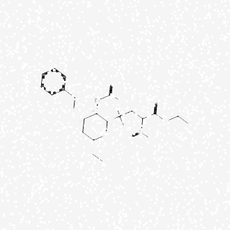 CCOC(=O)C(CC(F)(F)[C@H]1O[C@H](CC)[C@H](C)[C@H](OCc2ccccc2)[C@H]1NC(C)=O)[N+](=O)[O-]